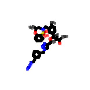 COC(=O)C(C)(C)C(OCc1cn(Cc2cccc(CN=[N+]=[N-])c2)nn1)c1ccc(C)c(CN2CC(C)Oc3ccccc3S2(O)O)c1